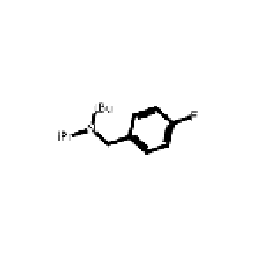 CC(C)N(Cc1ccc(F)cc1)C(C)(C)C